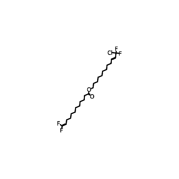 O=C(CCCCCCCCCC=C(F)F)OCCCCCCCCCC=CC(F)(F)Cl